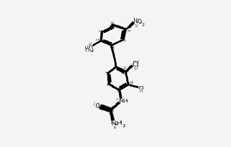 NC(=O)Nc1ccc(-c2cc([N+](=O)[O-])ccc2O)c(Cl)c1Cl